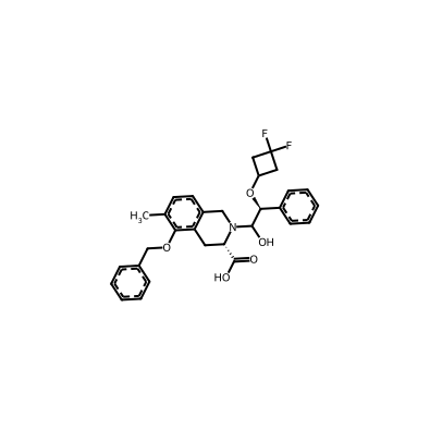 Cc1ccc2c(c1OCc1ccccc1)C[C@@H](C(=O)O)N(C(O)[C@@H](OC1CC(F)(F)C1)c1ccccc1)C2